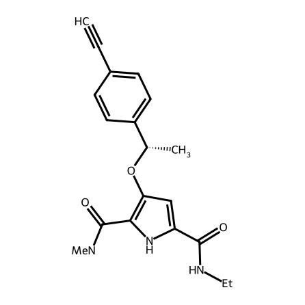 C#Cc1ccc([C@H](C)Oc2cc(C(=O)NCC)[nH]c2C(=O)NC)cc1